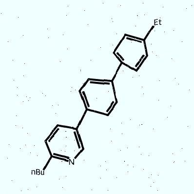 CCCCc1ccc(-c2ccc(-c3ccc(CC)cc3)cc2)cn1